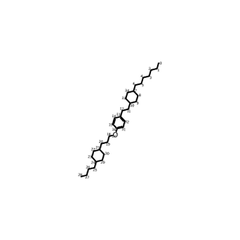 CCCCCCCC1CCC(CCc2ccc(OCCCC3CCC(CCCC)CC3)cc2)CC1